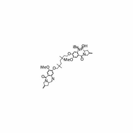 C=C1CC2C=Nc3cc(OCC(C)(C)CCC(C)(C)CCOc4cc5c(cc4OC)C(=O)N4CC(=C)CC4P(O)N5C(C)CC)c(OC)cc3C(=O)N2C1